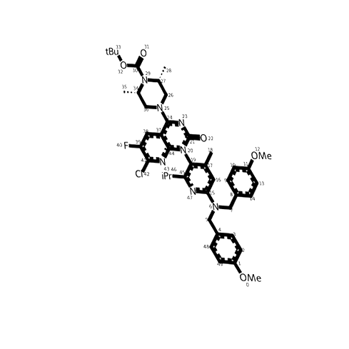 COc1ccc(CN(Cc2ccc(OC)cc2)c2cc(C)c(-n3c(=O)nc(N4C[C@@H](C)N(C(=O)OC(C)(C)C)[C@@H](C)C4)c4cc(F)c(Cl)nc43)c(C(C)C)n2)cc1